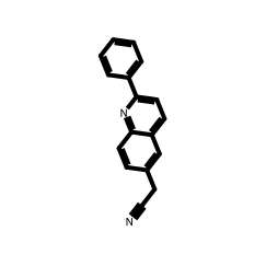 N#CCc1ccc2nc(-c3ccccc3)ccc2c1